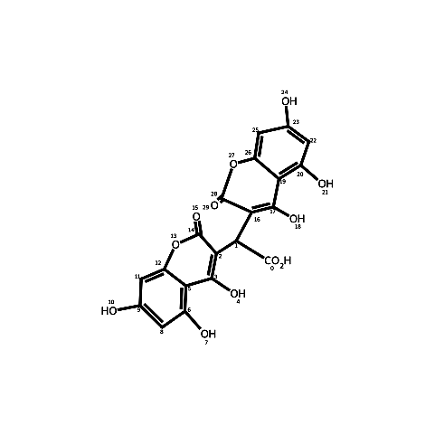 O=C(O)C(c1c(O)c2c(O)cc(O)cc2oc1=O)c1c(O)c2c(O)cc(O)cc2oc1=O